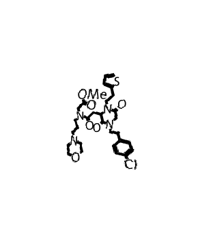 COC(=O)CN(CCCN1CCOCC1)C(=O)CC1C(=O)N(CCc2ccc(Cl)cc2)CC(=O)N1CCc1cccs1